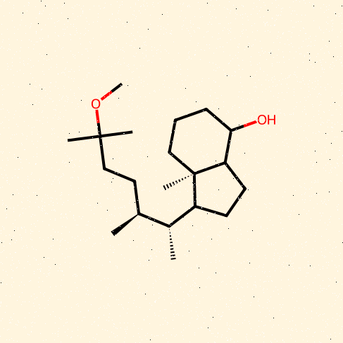 COC(C)(C)CC[C@H](C)[C@@H](C)C1CCC2C(O)CCC[C@@]21C